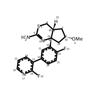 CO[C@H]1C[C@H]2CSC(N)=N[C@@]2(c2cc(-c3cccnc3F)ccc2F)C1